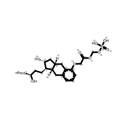 CCCCC[C@H](O)CC[C@@H]1[C@H]2Cc3cccc(OCC(=O)OCOP(=O)(O)O)c3C[C@H]2C[C@H]1O